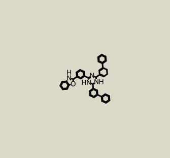 C1=C(c2ccccc2)CCC=C1C1N=C(c2cccc(C3Nc4ccccc4O3)c2)NC(c2cccc(-c3ccccc3)c2)N1